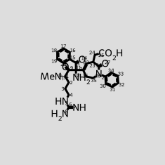 CN[C@@H](CCCNC(=N)N)C(=O)C(N)(C(=O)c1ccccc1)C1=CC(CC(=O)O)C(=O)N(c2ccccc2)CC1